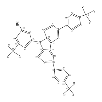 CC(C)(C)c1ccc(-c2ccc3c(c2)c2cc(-c4ccc(C(C)(C)C)cc4)ccc2n3-c2cc(Br)cc(C(C)(C)C)c2)cc1